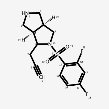 C#CCC1[C@H]2CNC[C@H]2CN1S(=O)(=O)c1ccc(F)cc1F